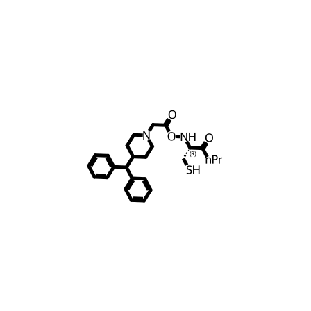 CCCC(=O)[C@H](CS)NOC(=O)CN1CCC(C(c2ccccc2)c2ccccc2)CC1